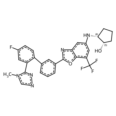 Cn1cnnc1-c1cc(F)ccc1-c1cccc(-c2nc3cc(N[C@@H]4CCC[C@@H]4O)cc(C(F)(F)F)c3o2)c1